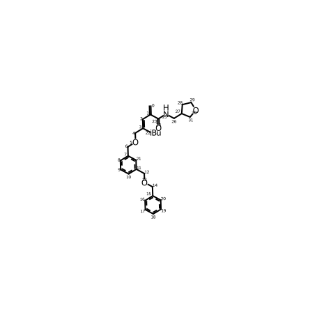 C=C(/C=C(/COCc1cccc(COCc2ccccc2)c1)C(C)CC)C(=O)NCC1CCOC1